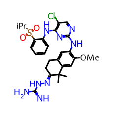 COc1cc2c(cc1Nc1ncc(Cl)c(Nc3ccccc3S(=O)(=O)C(C)C)n1)CC/C(=N\NC(=N)N)C2(C)C